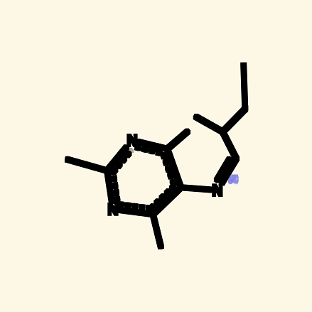 CCC(C)/C=N\c1c(C)nc(C)nc1C